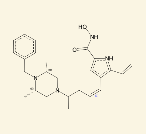 C=Cc1[nH]c(C(=O)NO)cc1/C=C\CC(C)N1C[C@@H](C)N(Cc2ccccc2)[C@@H](C)C1